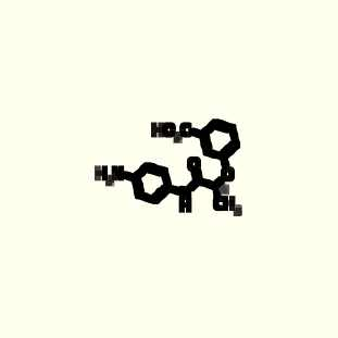 C[C@H](Oc1cccc(C(=O)O)c1)C(=O)Nc1ccc(N)cc1